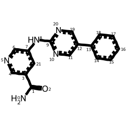 NC(=O)c1cncc(Nc2ncc(-c3ccccc3)cn2)c1